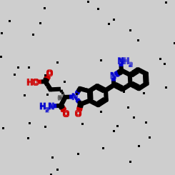 NC(=O)[C@H](CCC(=O)O)N1Cc2cc(-c3cc4ccccc4c(N)n3)ccc2C1=O